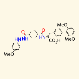 COc1ccc(NNC(=O)C2CCC(C(=O)N[C@@H](Cc3ccc(-c4c(OC)cccc4OC)cc3)C(=O)O)CC2)cc1